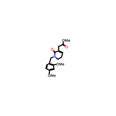 COC(=O)CC1=CCCN(Cc2ccc(OC)cc2OC)C1=O